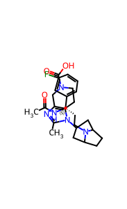 CC(=O)N[C@@H](CCN1C2CCC1CC(n1c(C)nc3c1CCN(C(=O)O)C3)C2)c1cccc(F)c1